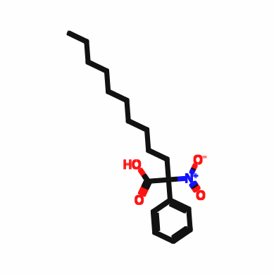 CCCCCCCCCCC(C(=O)O)(c1ccccc1)[N+](=O)[O-]